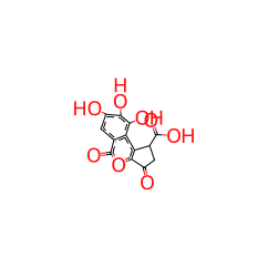 O=C1CC(C(=O)O)c2c1oc(=O)c1cc(O)c(O)c(O)c21